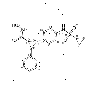 O=C(NO)[C@@H]1[C@H](c2ccccc2)[C@H]1c1ccc(NS(=O)(=O)C2CC2)cc1